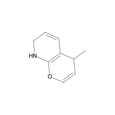 CC1C=COC2=C1C=CCN2